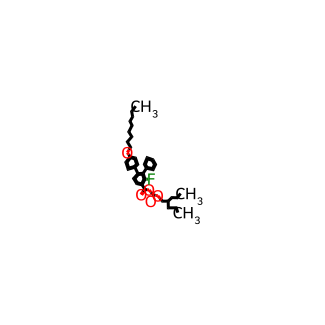 CCCCCCCCCOc1ccc(-c2ccc(C(=O)OC(=O)OCC(CCC)CCC)c(F)c2-c2ccccc2)cc1